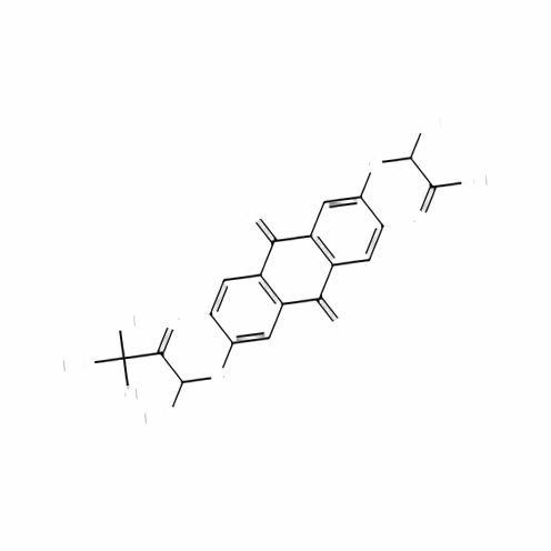 CC(Oc1ccc2c(c1)C(=O)c1ccc(OC(C)C(=O)C(C)(C)C)cc1C2=O)C(=O)O